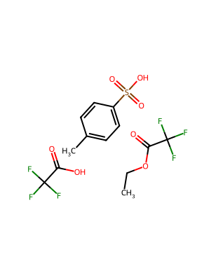 CCOC(=O)C(F)(F)F.Cc1ccc(S(=O)(=O)O)cc1.O=C(O)C(F)(F)F